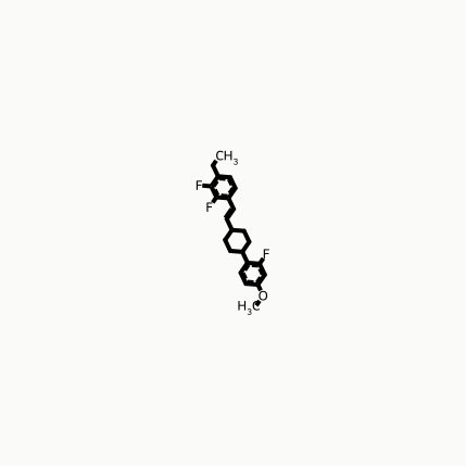 CCc1ccc(/C=C/C2CCC(c3ccc(OC)cc3F)CC2)c(F)c1F